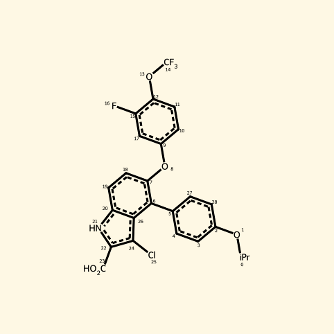 CC(C)Oc1ccc(-c2c(Oc3ccc(OC(F)(F)F)c(F)c3)ccc3[nH]c(C(=O)O)c(Cl)c23)cc1